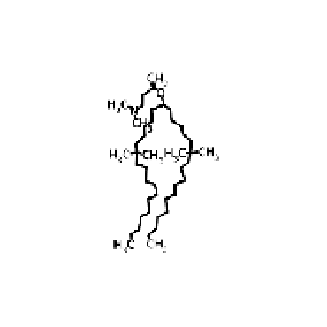 C=C(CCN(C)C)OC(CCCCCC(C)(C)CCCCCCCCCCC)CCCCCC(C)(C)CCCCCCCCCCC